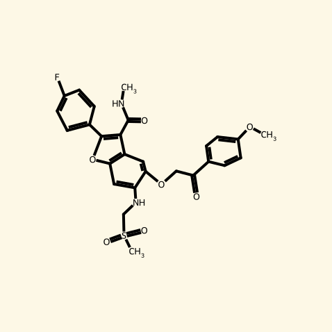 CNC(=O)c1c(-c2ccc(F)cc2)oc2cc(NCS(C)(=O)=O)c(OCC(=O)c3ccc(OC)cc3)cc12